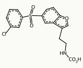 O=C(O)NCCc1coc2ccc(S(=O)(=O)c3cccc(Cl)c3)cc12